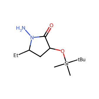 CCC1CC(O[Si](C)(C)C(C)(C)C)C(=O)N1N